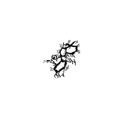 C[C@@H]1[C@@]2(C)CCCC(C)(C)[C@@H]2CC[C@@]1(C)c1c(O)cc(O)cc1[S+](C)[O-]